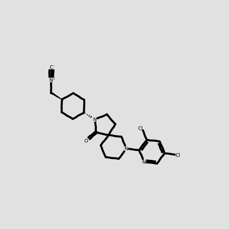 [C-]#[N+]C[C@H]1CC[C@H](N2CCC3(CCCN(c4ncc(Cl)cc4Cl)C3)C2=O)CC1